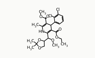 CCOC(=O)C1=C(C(OC)C2COC(C)(C)O2)NC(C)=C(C(=O)OC)C1c1cccc(Cl)c1Cl